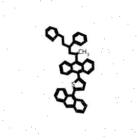 CC(CC(CCc1ccccc1)c1ccccc1)c1c2ccccc2c(-c2ccc(-c3c4ccccc4cc4ccccc34)s2)c2ccccc12